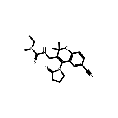 CCN(C)C(=S)NCC1=C(N2CCCC2=O)c2cc(C#N)ccc2OC1(C)C